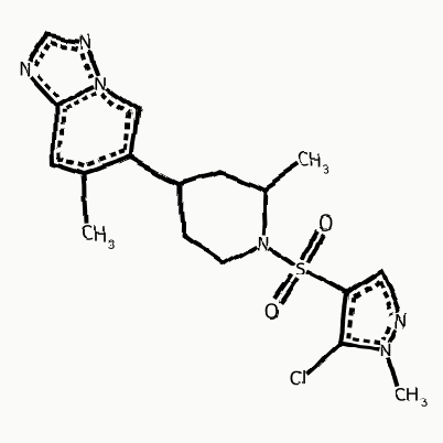 Cc1cc2ncnn2cc1C1CCN(S(=O)(=O)c2cnn(C)c2Cl)C(C)C1